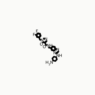 N[C@H]1CC[C@H](Nc2cnc3ccc(CNC(=O)c4cncn(Cc5ccc(F)c(F)c5)c4=O)cc3n2)CC1